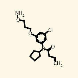 C=CCC(=O)N(c1cc(Cl)cc(OCCCON)c1)C1CCCC1